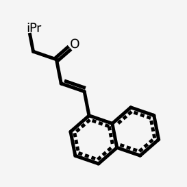 CC(C)CC(=O)/C=C/c1cccc2ccccc12